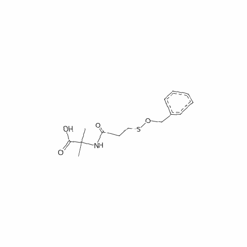 CC(C)(NC(=O)CCSOCc1ccccc1)C(=O)O